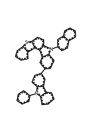 c1ccc(-n2c3ccccc3c3cc(-c4ccc5c(c4)c4c6c(ccc4n5-c4ccc5ccccc5c4)sc4ccccc46)ccc32)cc1